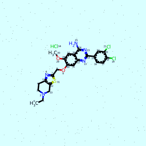 CCN1CCc2nc(COc3cc4nc(-c5ccc(Cl)c(Cl)c5)nc(N)c4cc3OC)sc2C1.Cl